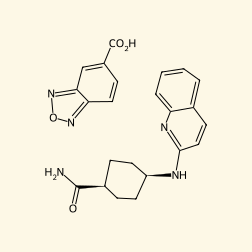 NC(=O)[C@H]1CC[C@@H](Nc2ccc3ccccc3n2)CC1.O=C(O)c1ccc2nonc2c1